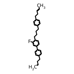 C=CCCc1ccc(-c2ccc(CCCCc3ccc(CC/C=C/C)cc3)c(F)c2)cc1